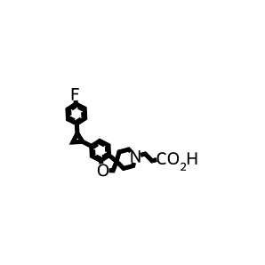 O=C(O)CCN1CCC2(CC1)COc1cc(C3CC3c3ccc(F)cc3)ccc12